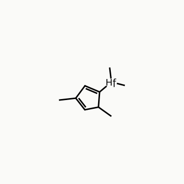 CC1=CC(C)[C]([Hf]([CH3])[CH3])=C1